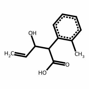 C=CC(O)C(C(=O)O)c1ccccc1C